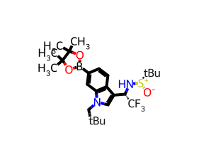 CC(C)(C)Cn1cc([C@H](N[S@@+]([O-])C(C)(C)C)C(F)(F)F)c2ccc(B3OC(C)(C)C(C)(C)O3)cc21